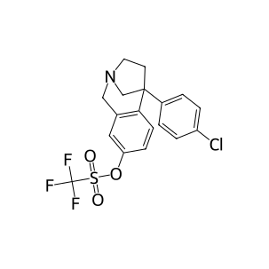 O=S(=O)(Oc1ccc2c(c1)CN1CCC2(c2ccc(Cl)cc2)C1)C(F)(F)F